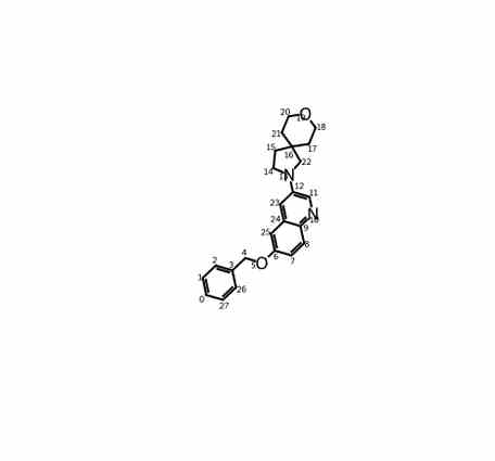 c1ccc(COc2ccc3ncc(N4CCC5(CCOCC5)C4)cc3c2)cc1